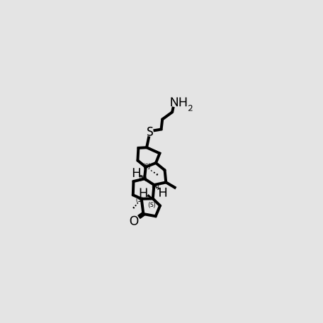 CC1CC2CC(SCCCN)CC[C@]2(C)[C@@H]2CC[C@]3(C)C(=O)CC[C@H]3[C@H]12